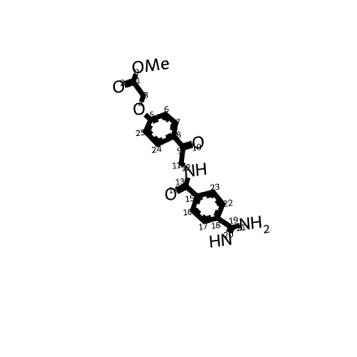 COC(=O)COc1ccc(C(=O)CNC(=O)c2ccc(C(=N)N)cc2)cc1